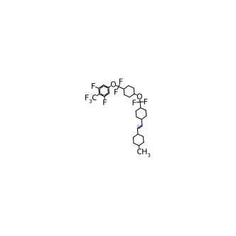 CC1CCC(/C=C/C2CCC(C(F)(F)OC3CCC(C(F)(F)Oc4cc(F)c(C(F)(F)F)c(F)c4)CC3)CC2)CC1